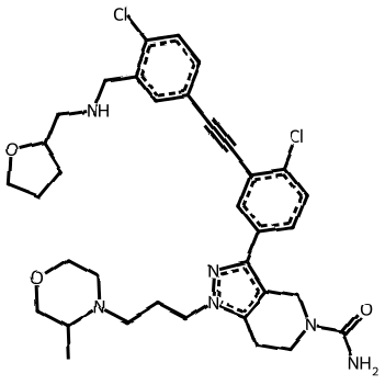 CC1COCCN1CCCn1nc(-c2ccc(Cl)c(C#Cc3ccc(Cl)c(CNCC4CCCO4)c3)c2)c2c1CCN(C(N)=O)C2